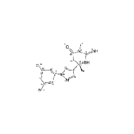 CN1C(=N)N[C@](C)(c2cnn(-c3cc(Cl)cc(Br)c3)c2)CC1=O